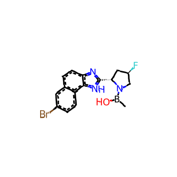 CB(O)N1C[C@H](F)C[C@H]1c1nc2ccc3cc(Br)ccc3c2[nH]1